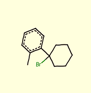 Cc1ccccc1C1(Br)CCCCC1